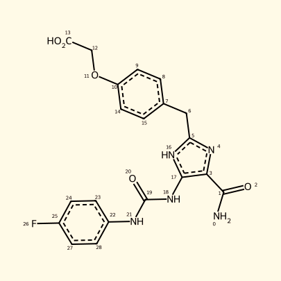 NC(=O)c1nc(Cc2ccc(OCC(=O)O)cc2)[nH]c1NC(=O)Nc1ccc(F)cc1